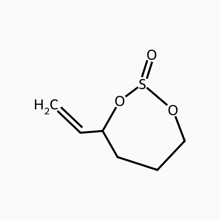 C=CC1CCCOS(=O)O1